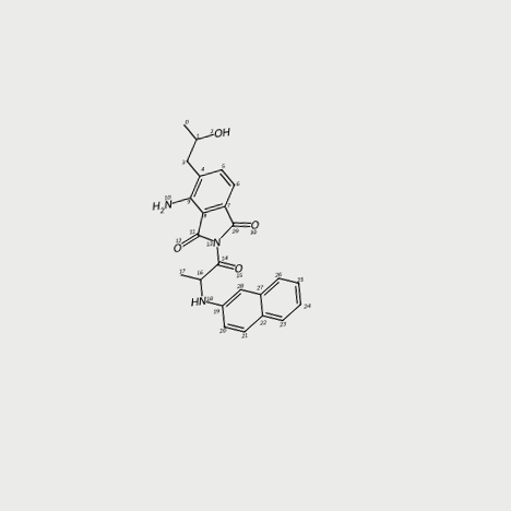 CC(O)Cc1ccc2c(c1N)C(=O)N(C(=O)C(C)Nc1ccc3ccccc3c1)C2=O